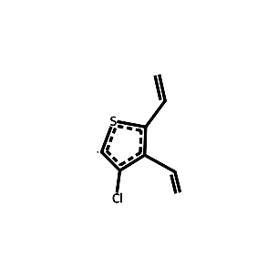 C=Cc1s[c]c(Cl)c1C=C